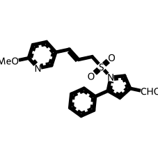 COc1ccc(C=CCS(=O)(=O)n2cc(C=O)cc2-c2ccccc2)cn1